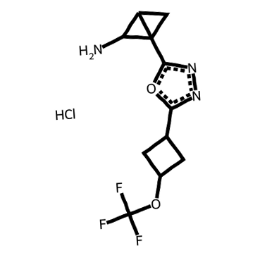 Cl.NC1C2CC12c1nnc(C2CC(OC(F)(F)F)C2)o1